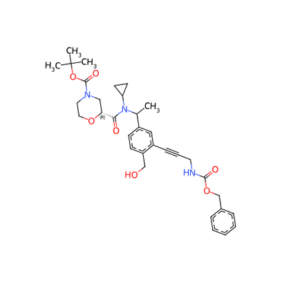 CC(c1ccc(CO)c(C#CCNC(=O)OCc2ccccc2)c1)N(C(=O)[C@H]1CN(C(=O)OC(C)(C)C)CCO1)C1CC1